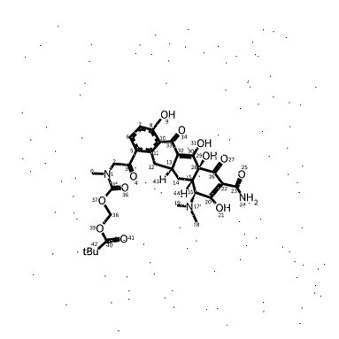 CN(CC(=O)c1ccc(O)c2c1C[C@H]1C[C@H]3[C@H](N(C)C)C(O)=C(C(N)=O)C(=O)[C@@]3(O)C(O)=C1C2=O)C(=O)OCOC(=O)C(C)(C)C